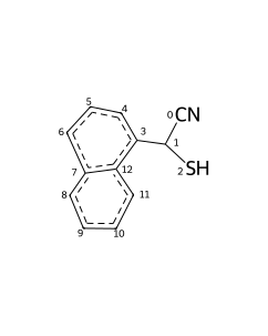 N#CC(S)c1cccc2ccccc12